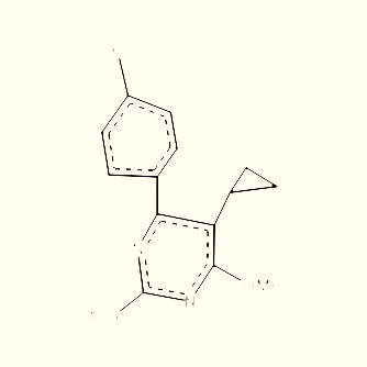 COc1nc(OC(C)=O)nc(-c2ccc(Cl)cc2)c1C1CC1